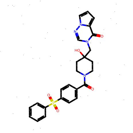 O=C(c1ccc(S(=O)(=O)c2ccccc2)cc1)N1CCC(O)(Cn2cnn3cccc3c2=O)CC1